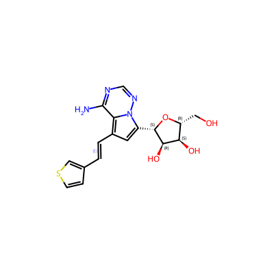 Nc1ncnn2c([C@@H]3O[C@H](CO)[C@@H](O)[C@H]3O)cc(/C=C/c3ccsc3)c12